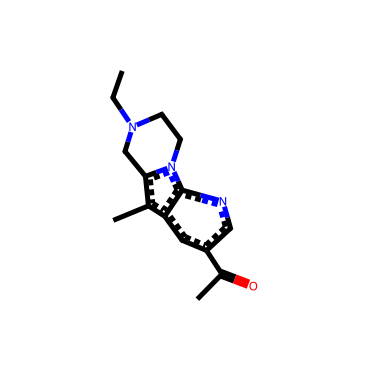 CCN1CCn2c(c(C)c3cc(C(C)=O)cnc32)C1